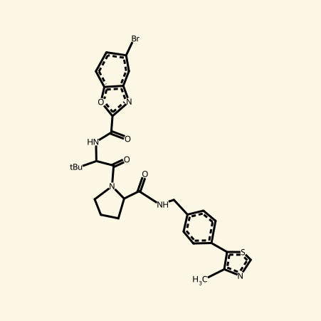 Cc1ncsc1-c1ccc(CNC(=O)C2CCCN2C(=O)C(NC(=O)c2nc3cc(Br)ccc3o2)C(C)(C)C)cc1